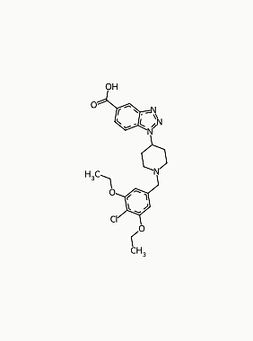 CCOc1cc(CN2CCC(n3nnc4cc(C(=O)O)ccc43)CC2)cc(OCC)c1Cl